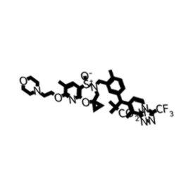 Cc1ccc(C(c2ccn3c(C(F)(F)F)nnc3c2C)C(C)(C)C(=O)O)cc1CN1CC2(CC2)Oc2nc(OCCN3CCOCC3)c(C)cc2[S+]1[O-]